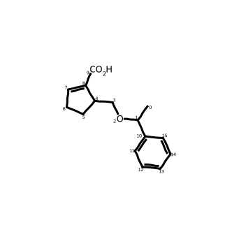 CC(OCC1CCC=C1C(=O)O)c1ccccc1